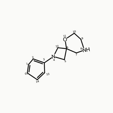 [c]1ccc(N2CC3(CNCCO3)C2)cc1